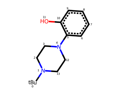 CC(C)(C)N1CCN(c2ccccc2O)CC1